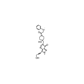 C[C@H](CC(=O)N1CCC(O)(Cn2cnc3c(C#CCO)n(C)nc3c2=O)CC1)c1ccccc1